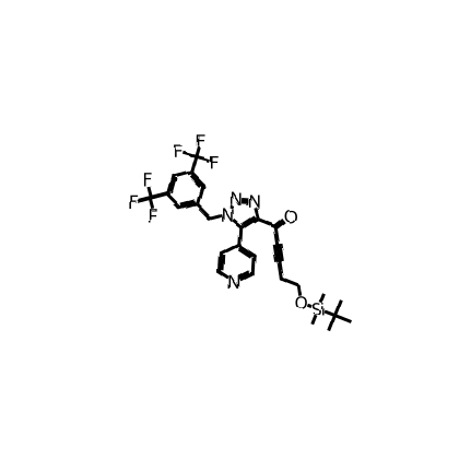 CC(C)(C)[Si](C)(C)OCCC#CC(=O)c1nnn(Cc2cc(C(F)(F)F)cc(C(F)(F)F)c2)c1-c1ccncc1